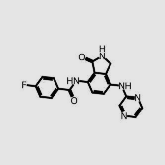 O=C(Nc1ccc(Nc2cnccn2)c2c1C(=O)NC2)c1ccc(F)cc1